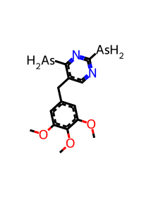 COc1cc(Cc2cnc([AsH2])nc2[AsH2])cc(OC)c1OC